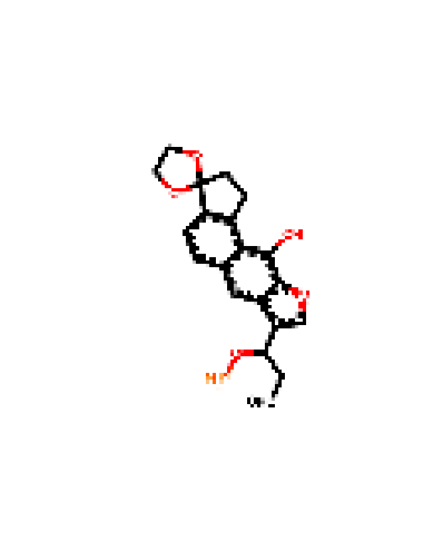 O=CCC(OP)c1coc2c(O)c3c4c(ccc3cc12)C1(CC4)OCCO1